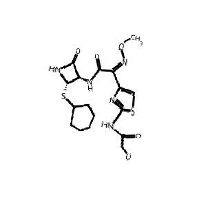 CO/N=C(\C(=O)N[C@@H]1C(=O)N[C@H]1SC1CCCCC1)c1csc(NC(=O)CCl)n1